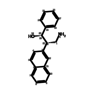 NC[C@H](c1ccc2ccccc2c1)[C@H](O)c1ccccc1